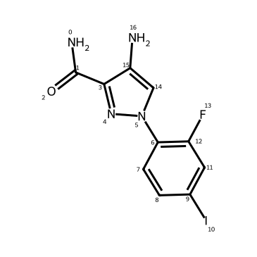 NC(=O)c1nn(-c2ccc(I)cc2F)cc1N